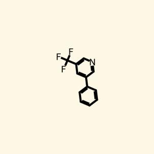 FC(F)(F)c1cncc(-c2ccccc2)c1